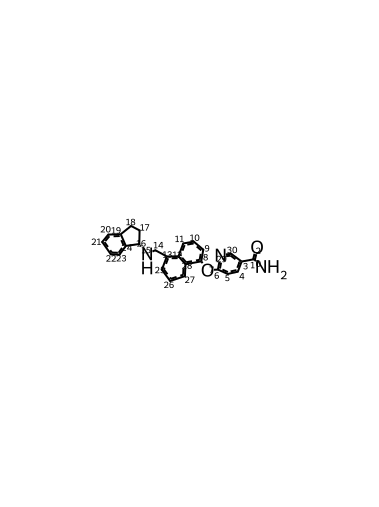 NC(=O)c1ccc(Oc2cccc3c(CN[C@H]4CCc5ccccc54)cccc23)nc1